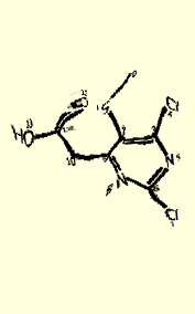 CSc1c(Cl)nc(Cl)nc1CC(=O)O